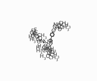 CC(C)(C)OC(=O)NCC(Cn1cc(-c2ccc(OCC(ON)C(=O)OC(C)(C)C)cc2)c[n+]1CC1CN(C(=O)OC(C)(C)C)C1)O[Si](C)(C)C(C)(C)C.O=S(=O)([O-])C(F)(F)F